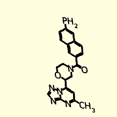 Cc1cc(C2CN(C(=O)c3ccc4cc(P)ccc4c3)CCO2)n2ncnc2n1